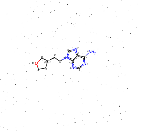 Nc1ncnc2c1ncn2CC[C@H]1CCOC1